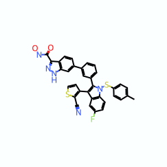 Cc1ccc(Sn2c(-c3cccc(-c4ccc5c(C(=O)N=O)n[nH]c5c4)c3)c(-c3ccsc3C#N)c3cc(F)ccc32)cc1